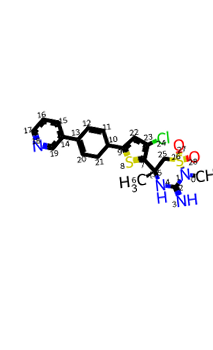 CN1C(=N)N[C@](C)(c2sc(C3C=CC(c4cccnc4)=CC3)cc2Cl)CS1(=O)=O